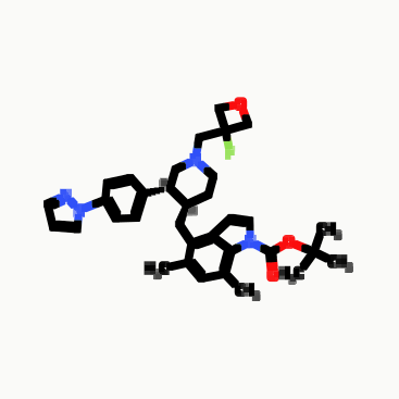 Cc1cc(C)c2c(ccn2C(=O)OC(C)(C)C)c1C[C@@H]1CCN(CC2(F)COC2)C[C@H]1c1ccc(-n2cccn2)cc1